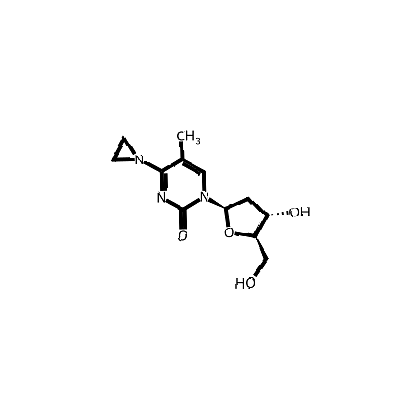 Cc1cn([C@H]2C[C@H](O)[C@@H](CO)O2)c(=O)nc1N1CC1